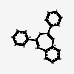 C1=C(c2ccccc2)CC(c2ccccc2)=Nc2ccccc21